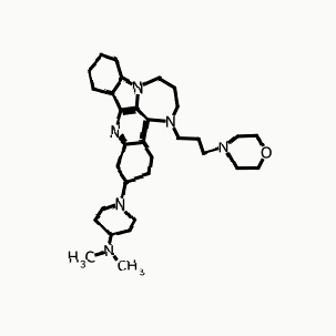 CN(C)C1CCN(C2CCc3c(nc4c5c3N(CCCN3CCOCC3)CCCN5C3CCCCC43)C2)CC1